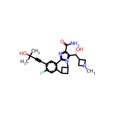 CN1CC([C@@H](O)c2c(C(N)=O)nc3n2C2CC(C2)c2cc(F)c(C#CC(C)(C)O)cc2-3)C1